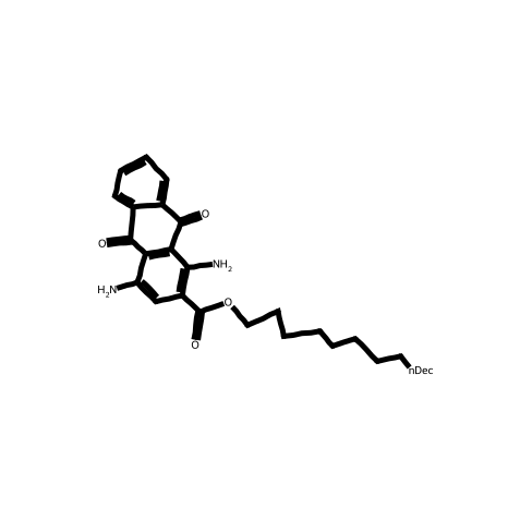 CCCCCCCCCCCCCCCCCCOC(=O)c1cc(N)c2c(c1N)C(=O)c1ccccc1C2=O